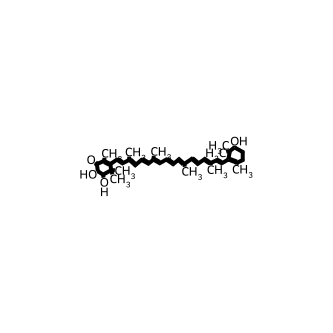 CC1=C(/C=C/C(C)=C/C=C/C(C)=C/C=C/C=C(C)/C=C/C=C(C)/C=C/C2=C(C)C(=O)C(O)C(O)C2(C)C)C(C)(C)C(O)CC1